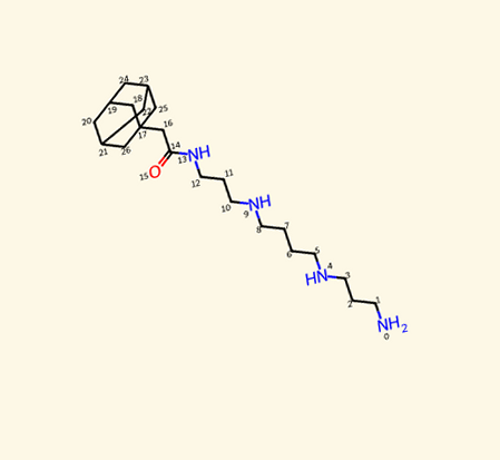 NCCCNCCCCNCCCNC(=O)CC12CC3CC(CC(C3)C1)C2